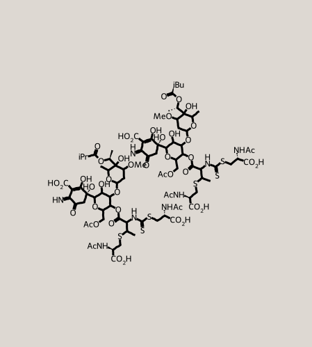 CC[C@H](C)C(=O)O[C@@H](C)C1(O)C(C)OC(OC2C(O)C([C@@]3(O)CC(=O)C(=N)C(C(=O)O)=C3O)OC(COC(C)=O)C2OC(=O)C(NC(=S)SC[C@H](NC(C)=O)C(=O)O)C(C)SC[C@H](NC(C)=O)C(=O)O)CC1OC.COC1CC(OC2C(O)C([C@@]3(O)CC(=O)C(=N)C(C(=O)O)=C3O)OC(COC(C)=O)C2OC(=O)C(NC(=S)SC[C@H](NC(C)=O)C(=O)O)C(C)SC[C@H](NC(C)=O)C(=O)O)OC(C)C1(O)[C@H](C)OC(=O)C(C)C